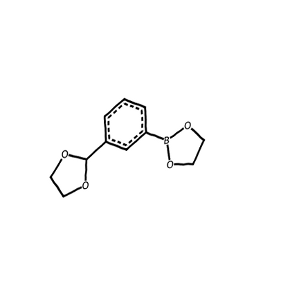 c1cc(B2OCCO2)cc(C2OCCO2)c1